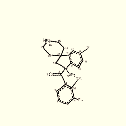 CCC[N+]1(C(=O)c2cccc(F)c2F)CC2(CCNCC2)c2cc(C)ccc21